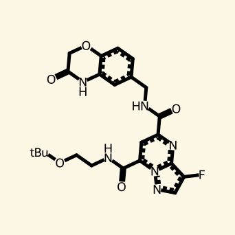 CC(C)(C)OCCNC(=O)c1cc(C(=O)NCc2ccc3c(c2)NC(=O)CO3)nc2c(F)cnn12